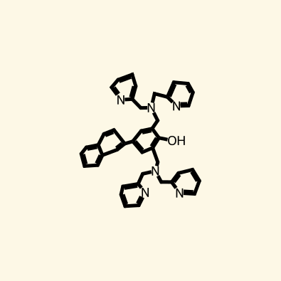 Oc1c(CN(Cc2ccccn2)Cc2ccccn2)cc(-c2ccc3ccccc3c2)cc1CN(Cc1ccccn1)Cc1ccccn1